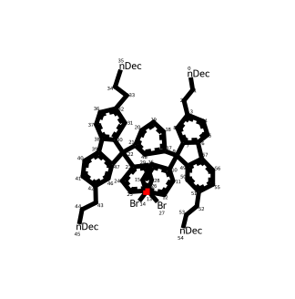 CCCCCCCCCCCCc1ccc2c(c1)C(c1ccc(Br)cc1)(c1cccc(C3(c4ccc(Br)cc4)c4cc(CCCCCCCCCCCC)ccc4-c4ccc(CCCCCCCCCCCC)cc43)c1)c1cc(CCCCCCCCCCCC)ccc1-2